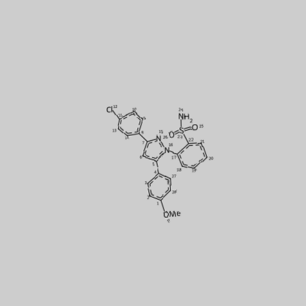 COc1ccc(-c2cc(-c3ccc(Cl)cc3)nn2-c2ccccc2S(N)(=O)=O)cc1